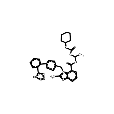 Cc1nc2cccc(C(=O)OC(C)OC(=O)OC3CCCCC3)c2n1Cc1ccc(-c2ccccc2-c2nnn[nH]2)cc1